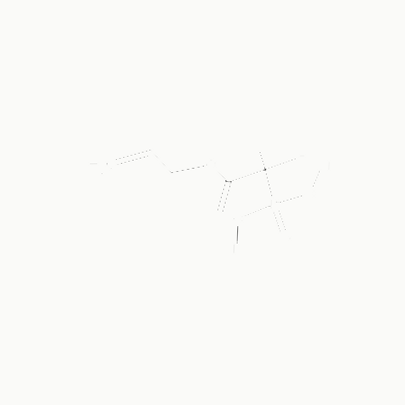 C=CCOC(=O)C(F)(F)P(=O)(OCC)OCC